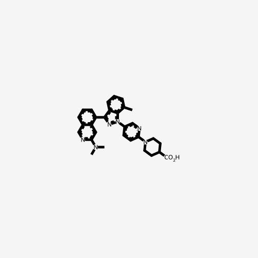 Cc1cccc2c(-c3cccc4cnc(N(C)C)cc34)nn(-c3ccc(N4CCC(C(=O)O)CC4)nc3)c12